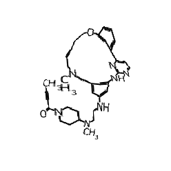 CC#CC(=O)N1CCC(N(C)CCNc2cc3cc(c2)Nc2nccc(n2)-c2cccc(c2)OCC/C=C/CN(C)C3)CC1